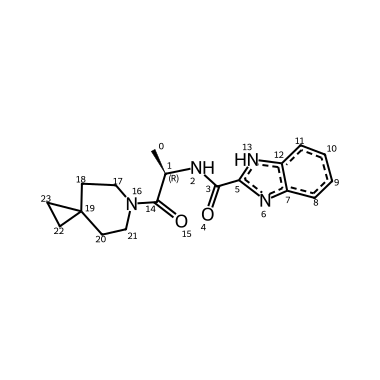 C[C@@H](NC(=O)c1nc2ccccc2[nH]1)C(=O)N1CCC2(CC1)CC2